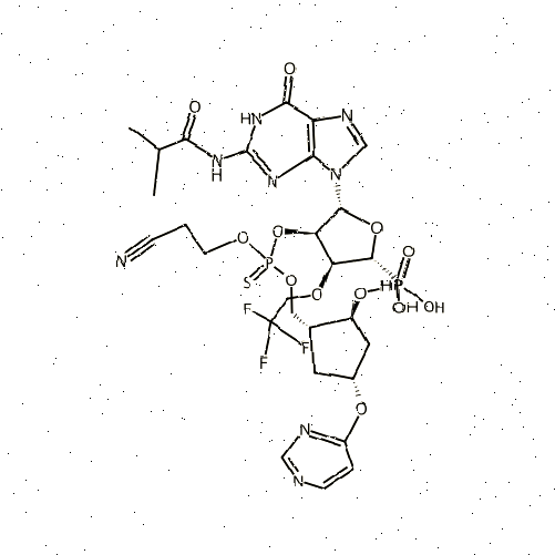 CC(C)C(=O)Nc1nc2c(ncn2[C@@H]2O[C@H](CO)[C@@H](OCC(F)(F)F)[C@H]2OP(=S)(OCCC#N)OC[C@H]2C[C@@H](Oc3ccncn3)C[C@@H]2O[PH](=O)O)c(=O)[nH]1